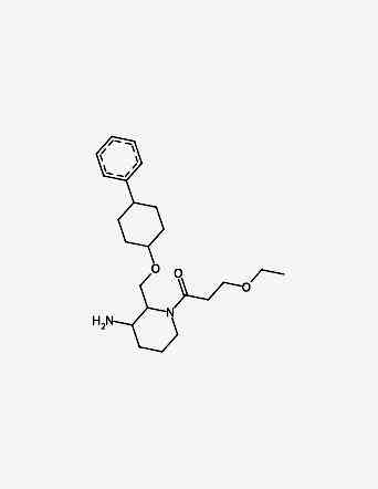 CCOCCC(=O)N1CCCC(N)C1COC1CCC(c2ccccc2)CC1